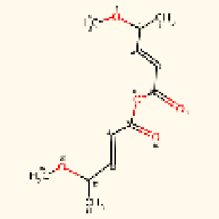 COC(C)C=CC(=O)OC(=O)C=CC(C)OC